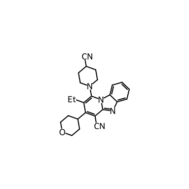 CCc1c(C2CCOCC2)c(C#N)c2nc3ccccc3n2c1N1CCC(C#N)CC1